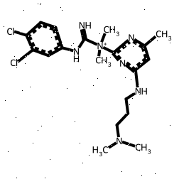 Cc1cc(NCCCN(C)C)nc([N+](C)(C)C(=N)Nc2ccc(Cl)c(Cl)c2)n1